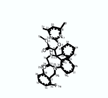 COC(=O)C(Oc1nc(C)cc(C)n1)C1(c2ccccc2)NCC(=O)N(Cc2c(F)cccc2F)c2ccccc21